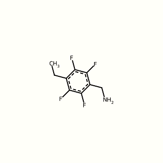 CCc1c(F)c(F)c(CN)c(F)c1F